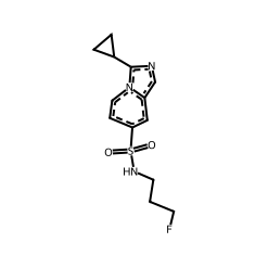 O=S(=O)(NCCCF)c1ccn2c(C3CC3)ncc2c1